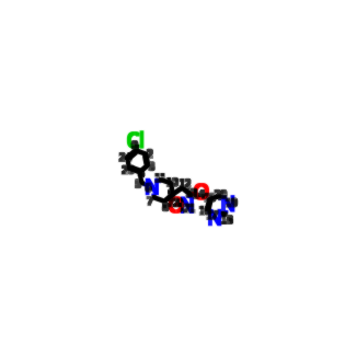 Clc1ccc(CN2CCC3(CC2)CC(Oc2cncnc2)=NO3)cc1